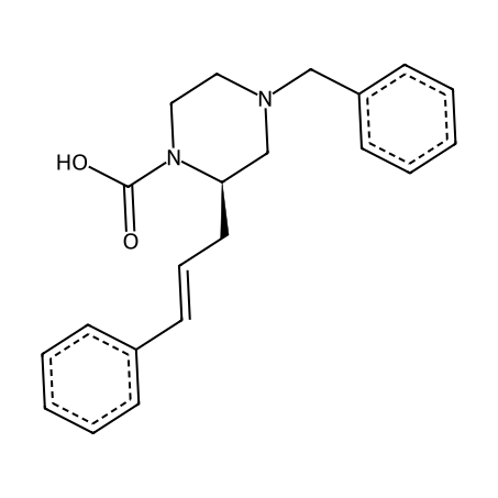 O=C(O)N1CCN(Cc2ccccc2)C[C@H]1CC=Cc1ccccc1